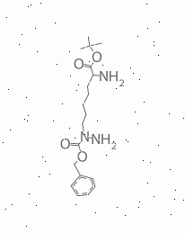 CC(C)(C)OC(=O)C(N)CCCCCN(N)C(=O)OCc1ccccc1